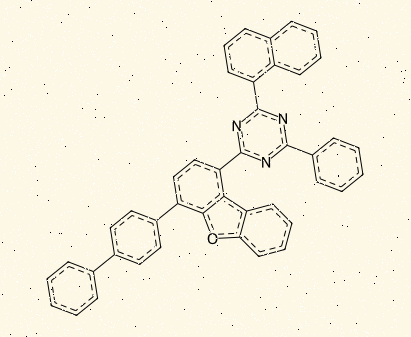 c1ccc(-c2ccc(-c3ccc(-c4nc(-c5ccccc5)nc(-c5cccc6ccccc56)n4)c4c3oc3ccccc34)cc2)cc1